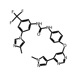 Cc1cn(-c2cc(NC(=O)Nc3ccc(Oc4cc(-c5cnn(C)c5)ncn4)cc3)cc(C(F)(F)F)c2)cn1